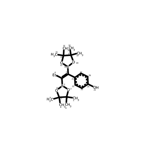 CCC(B1OC(C)(C)C(C)(C)O1)=C(B1OC(C)(C)C(C)(C)O1)c1ccc(O)cc1